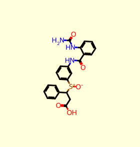 NC(=O)Nc1ccccc1C(=O)Nc1cccc([S+]([O-])C(CC(=O)O)c2ccccc2)c1